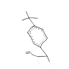 C=C[C@@H](C)[C@](C)(N)c1ccc(C(F)(F)F)cc1